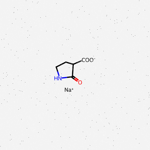 O=C([O-])C1CCNC1=O.[Na+]